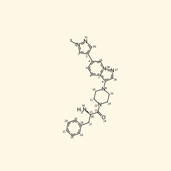 Cn1cc(-c2ccc3c(N4CCN(C(=O)[C@H](N)Cc5ccccc5)CC4)cnn3c2)cn1